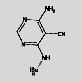 CC[C@@H](C)Nc1ncnc(N)c1C#N